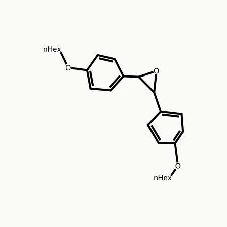 CCCCCCOc1ccc(C2OC2c2ccc(OCCCCCC)cc2)cc1